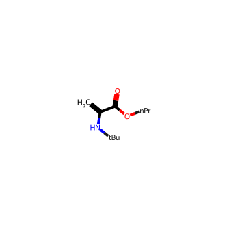 C=C(NC(C)(C)C)C(=O)OCCC